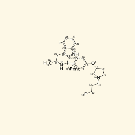 CCCCCC1(c2ccc(O[C@@H]3CCN(CCCF)C3)cn2)NC(C)Cc2c1[nH]c1ccccc21